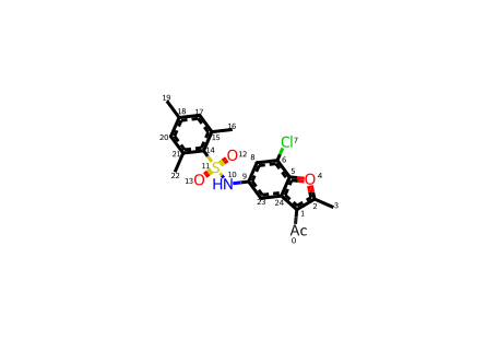 CC(=O)c1c(C)oc2c(Cl)cc(NS(=O)(=O)c3c(C)cc(C)cc3C)cc12